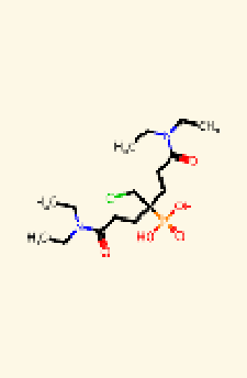 CCN(CC)C(=O)CCC(CCl)(CCC(=O)N(CC)CC)P(=O)(O)O